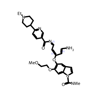 CCN1CCC(c2ccc(C(=O)\N=C/C=C(\C=C\N)Oc3cc4ccn(C(=O)NC)c4cc3OCCOC)cn2)CC1